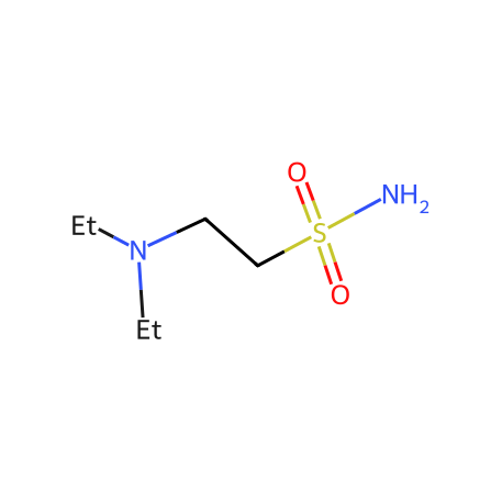 CCN(CC)CCS(N)(=O)=O